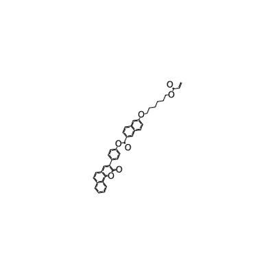 C=CC(=O)OCCCCCCOc1ccc2cc(C(=O)Oc3ccc(-c4cc5ccc6ccccc6c5oc4=O)cc3)ccc2c1